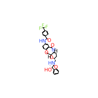 CN1C(=O)c2cc(NC(=O)c3ccc(C(F)(F)F)cc3)ccc2OC[C@@H]2O[C@H](CNC(=O)[C@](C)(O)c3ccccc3)CC[C@@H]21